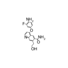 NC(=O)c1cc2c(Oc3ccc(N)c(F)c3)ccnc2cc1CCO